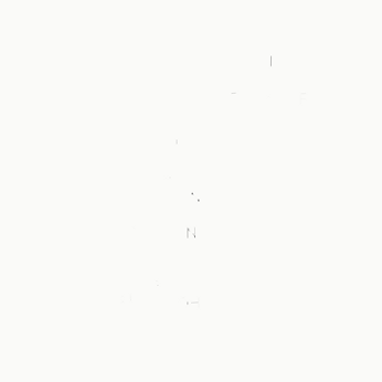 O=C(O)c1nn(-c2cccc(C(F)(F)F)c2)c(=O)c2ccccc12